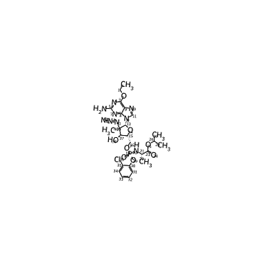 CCOc1nc(N)nc2c1ncn2[C@@H]1O[C@H](COP(=O)(N[C@@H](C)C(=O)OC(C)C)Oc2ccccc2Cl)[C@@H](O)[C@@]1(C)N=[N+]=[N-]